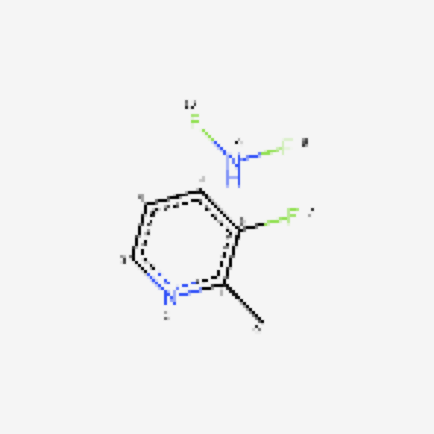 Cc1ncccc1F.FNF